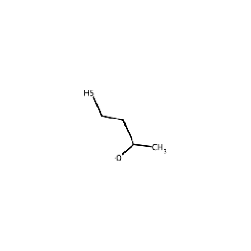 CC([O])CCS